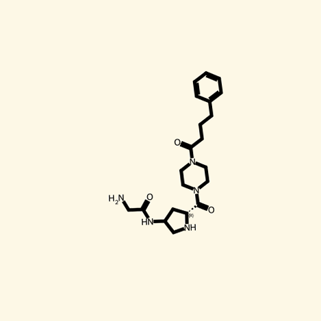 NCC(=O)NC1CN[C@@H](C(=O)N2CCN(C(=O)CCCc3ccccc3)CC2)C1